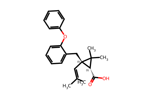 CC(C)=C[C@@]1(Cc2ccccc2Oc2ccccc2)[C@@H](C(=O)O)C1(C)C